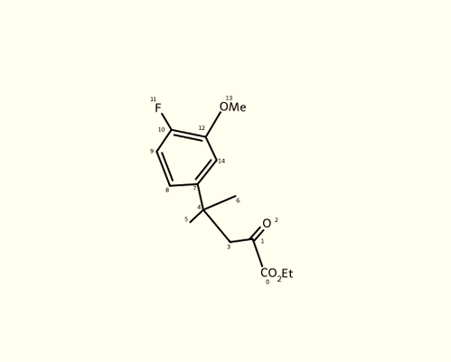 CCOC(=O)C(=O)CC(C)(C)c1ccc(F)c(OC)c1